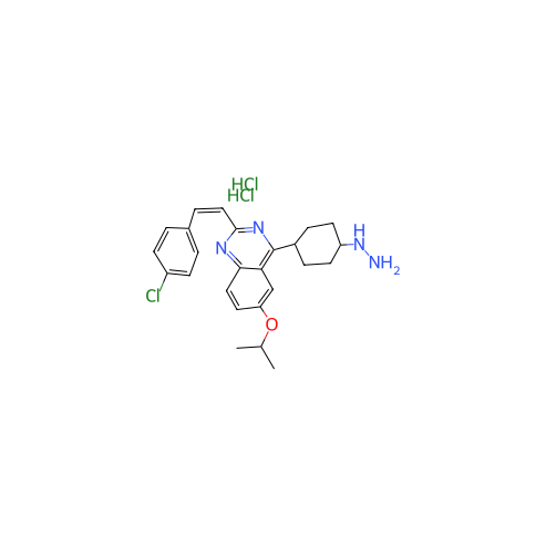 CC(C)Oc1ccc2nc(/C=C\c3ccc(Cl)cc3)nc(C3CCC(NN)CC3)c2c1.Cl.Cl